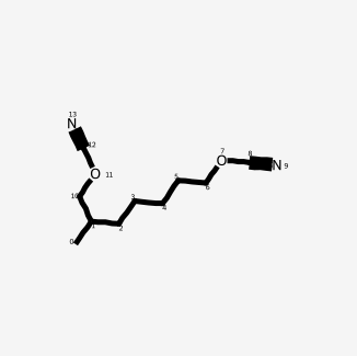 CC(CCCCCOC#N)COC#N